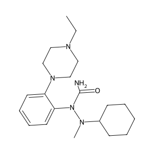 CCN1CCN(c2ccccc2N(C(N)=O)N(C)C2CCCCC2)CC1